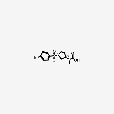 CN(C(=O)O)[C@@H]1CCN(S(=O)(=O)c2ccc(Br)cc2)C1